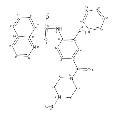 Cc1cc(C(=O)N2CCN(C=O)CC2)ccc1NS(=O)(=O)c1cccc2cccnc12.c1ccncc1